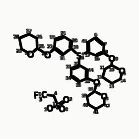 O=S(=O)([O-])CC(F)(F)F.c1cc(OC2CCCCO2)cc([S+](c2cccc(OC3CCCCO3)c2)c2cccc(OC3CCCCO3)c2)c1